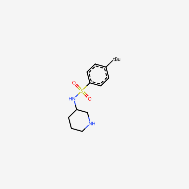 CC(C)(C)c1ccc(S(=O)(=O)NC2CCCNC2)cc1